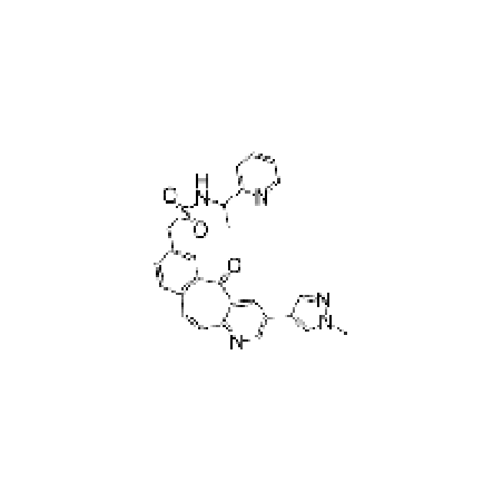 CC(NS(=O)(=O)Cc1ccc2ccc3ncc(-c4cnn(C)c4)cc3c(=O)c2c1)c1ccccn1